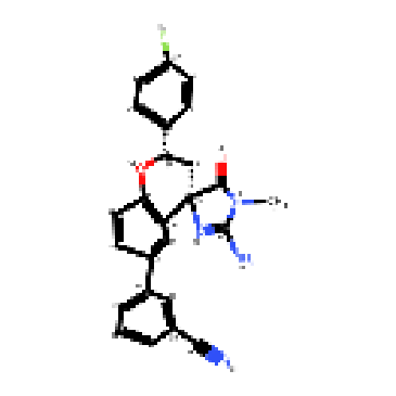 CN1C(=O)[C@@]2(C[C@@H](c3ccc(F)cc3)Oc3ccc(-c4cccc(C#N)c4)cc32)N=C1N